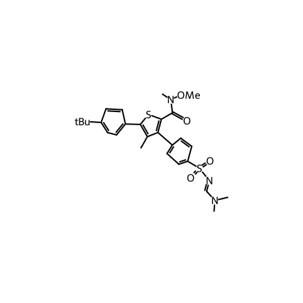 CON(C)C(=O)c1sc(-c2ccc(C(C)(C)C)cc2)c(C)c1-c1ccc(S(=O)(=O)/N=C/N(C)C)cc1